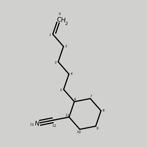 C=CCCCCC1CCCCC1C#N